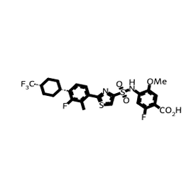 COc1cc(C(=O)O)c(F)cc1NS(=O)(=O)c1csc(-c2ccc([C@H]3CC[C@@H](C(F)(F)F)CC3)c(F)c2C)n1